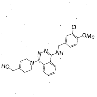 COc1ccc(CNc2nnc(N3CC=C(CO)CC3)c3ccccc23)cc1Cl